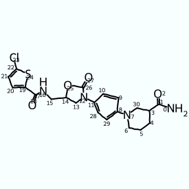 NC(=O)C1CCCN(c2ccc(N3CC(CNC(=O)c4ccc(Cl)s4)OC3=O)cc2)C1